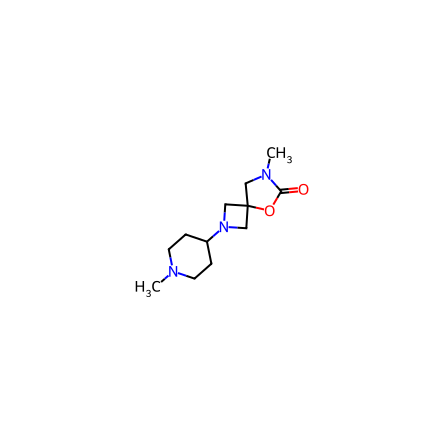 CN1CCC(N2CC3(CN(C)C(=O)O3)C2)CC1